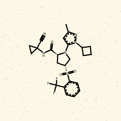 Cc1cc(N2C[C@H](S(=O)(=O)c3ccccc3C(F)(F)F)C[C@H]2C(=O)NC2(C#N)CC2)n(C2CCC2)n1